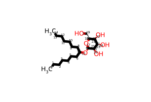 CCCCCCCC(CCCCCCC)O[C@H]1O[C@H](CO)[C@@H](O)[C@H](O)[C@H]1O